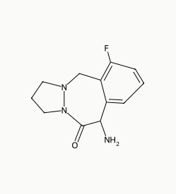 NC1C(=O)N2CCCN2Cc2c(F)cccc21